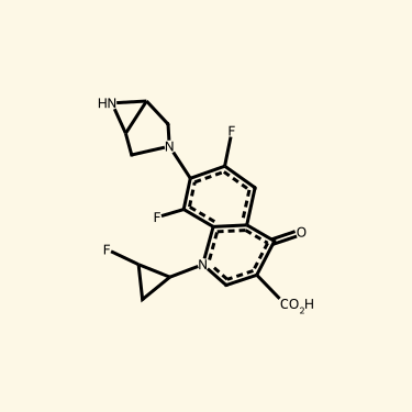 O=C(O)c1cn(C2CC2F)c2c(F)c(N3CC4NC4C3)c(F)cc2c1=O